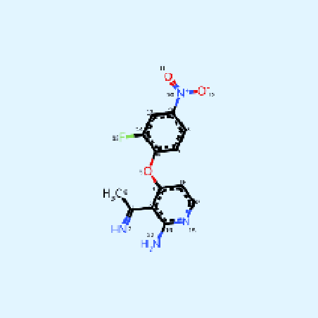 CC(=N)c1c(Oc2ccc([N+](=O)[O-])cc2F)ccnc1N